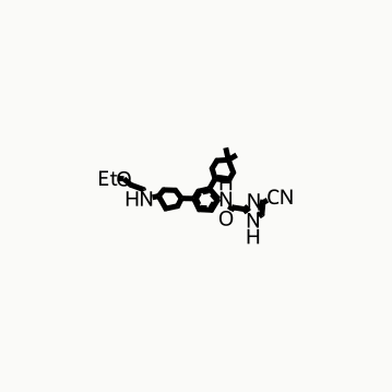 CCOCCNC1CCC(c2ccc(NC(=O)c3nc(C#N)c[nH]3)c(C3=CCC(C)(C)CC3)c2)CC1